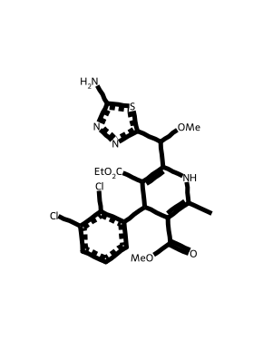 CCOC(=O)C1=C(C(OC)c2nnc(N)s2)NC(C)=C(C(=O)OC)C1c1cccc(Cl)c1Cl